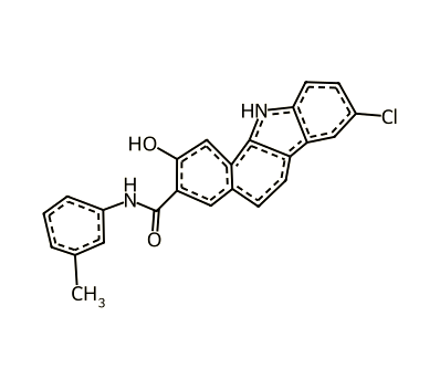 Cc1cccc(NC(=O)c2cc3ccc4c5cc(Cl)ccc5[nH]c4c3cc2O)c1